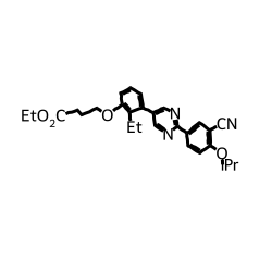 CCOC(=O)CCCOc1cccc(-c2cnc(-c3ccc(OC(C)C)c(C#N)c3)nc2)c1CC